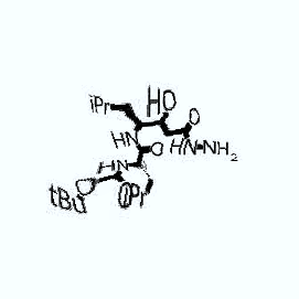 CC(C)CC(NC(=O)[C@H](CC(C)C)NC(=O)OC(C)(C)C)C(O)CC(=O)NN